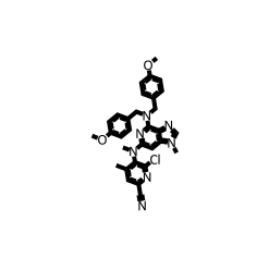 COc1ccc(CN(Cc2ccc(OC)cc2)c2nc(N(C)c3c(C)cc(C#N)nc3Cl)cc3c2ncn3C)cc1